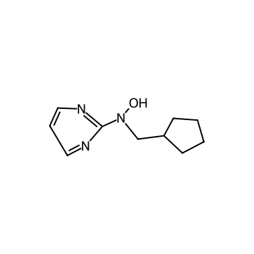 ON(CC1CCCC1)c1ncccn1